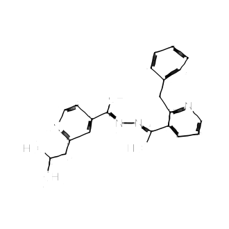 C/C(=N\N=C(/C)c1cccnc1Cc1ccccc1)c1ccnc(CC(C)C)c1